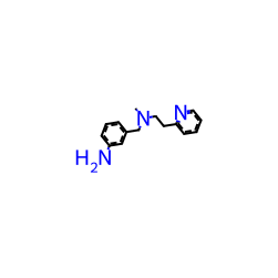 CN(CCc1ccccn1)Cc1cccc(N)c1